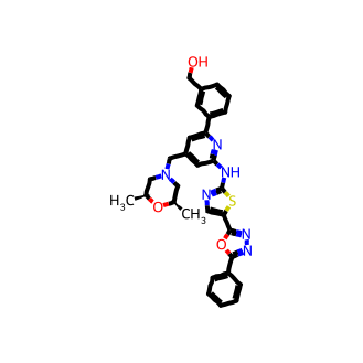 C[C@@H]1CN(Cc2cc(Nc3ncc(-c4nnc(-c5ccccc5)o4)s3)nc(-c3cccc(CO)c3)c2)C[C@H](C)O1